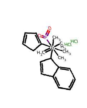 Cl.Cl.[CH2]=[Zr]([CH3])([CH3])([CH3])([CH3])([C]1=CC=CC1)([CH]1C=Cc2ccccc21)[P](=O)=O